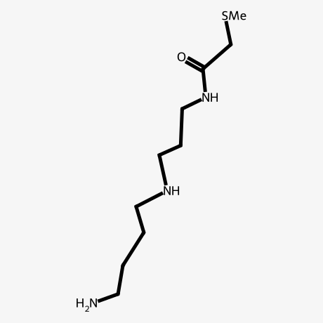 CSCC(=O)NCCCNCCCCN